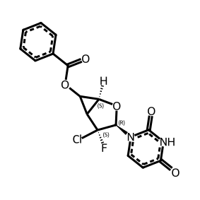 O=C(OC1C2[C@@H]1O[C@@H](n1ccc(=O)[nH]c1=O)[C@@]2(F)Cl)c1ccccc1